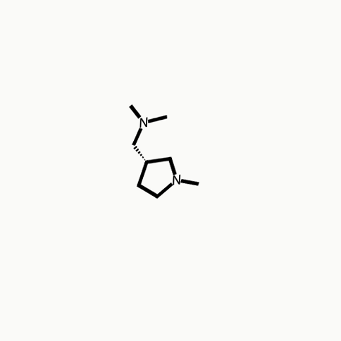 CN(C)C[C@H]1CCN(C)C1